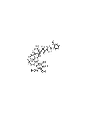 COc1ccccc1N1CCN(C(=O)C2(C)CC[C@]3(C)CC[C@]4(C)C(=CCC5[C@@]6(C)C(O[C@@H]7O[C@H](CO)[C@@H](O)[C@@H](O)[C@H]7O)CCC(C)(C)C6CC[C@]54C)[C@@H]3C2)CC1